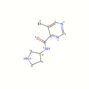 CCc1cncnc1C(=O)NC1CCNC1